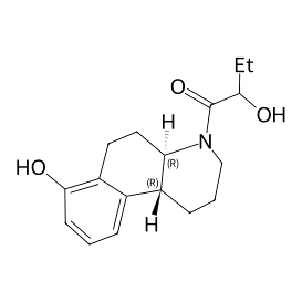 CCC(O)C(=O)N1CCC[C@@H]2c3cccc(O)c3CC[C@H]21